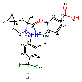 C[C@H](NC(=O)C1(C)CC2(CCN1Cc1ccc(C(F)(F)F)cc1)CC2)c1ccc(C(=O)O)cc1